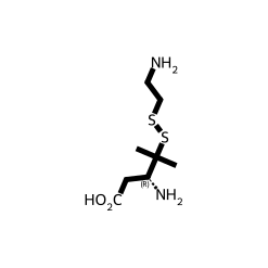 CC(C)(SSCCN)[C@H](N)CC(=O)O